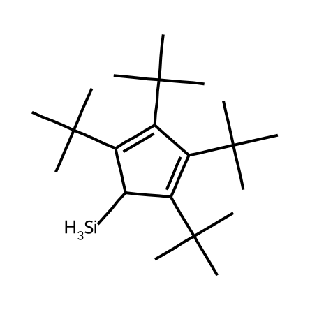 CC(C)(C)C1=C(C(C)(C)C)C([SiH3])C(C(C)(C)C)=C1C(C)(C)C